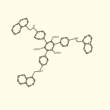 CCCCCCc1c(-c2ccc(NCc3cccc4ccccc34)cc2)c(CCCCCC)c(-c2ccc(NCc3cccc4ccccc34)cc2)c(CCCCCC)c1-c1ccc(NCc2cccc3ccccc23)cc1